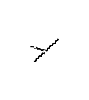 CCCCCCCCCCP(CCCCCCCC)CCCCCCCC